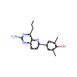 CCCc1nc(N)nc2ccc(-c3cc(C)c(O)c(C)c3)nc12